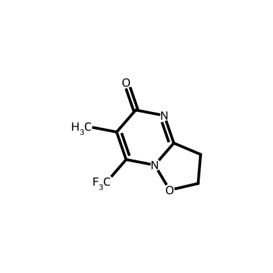 Cc1c(C(F)(F)F)n2c(nc1=O)CCO2